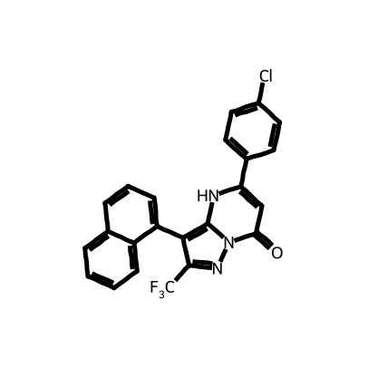 O=c1cc(-c2ccc(Cl)cc2)[nH]c2c(-c3cccc4ccccc34)c(C(F)(F)F)nn12